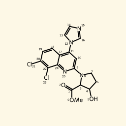 COC(=O)C1C(O)CCN1c1cc(-n2ccnc2)c2ccc(Cl)c(Cl)c2n1